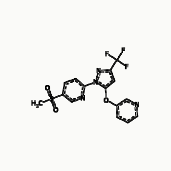 CS(=O)(=O)c1ccc(-n2nc(C(F)(F)F)cc2Oc2cccnc2)nc1